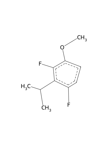 COc1ccc(F)c(C(C)C)c1F